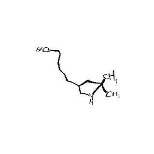 CC1(C)CC(CCCCO)CN1